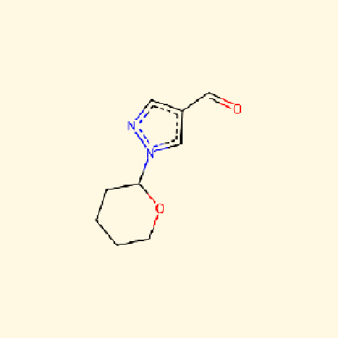 O=Cc1cnn(C2CCCCO2)c1